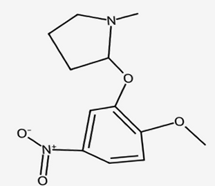 COc1ccc([N+](=O)[O-])cc1OC1CCCN1C